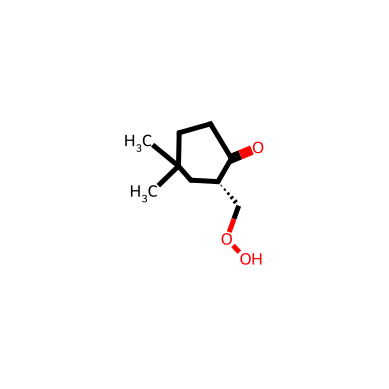 CC1(C)CCC(=O)[C@H](COO)C1